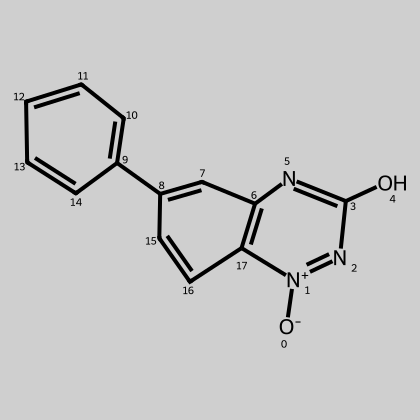 [O-][n+]1nc(O)nc2cc(-c3ccccc3)ccc21